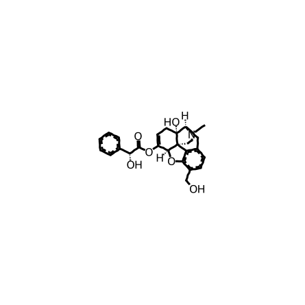 CN1CC[C@]23c4c5ccc(CO)c4O[C@H]2C(OC(=O)[C@H](O)c2ccccc2)=CC[C@@]3(O)[C@H]1C5